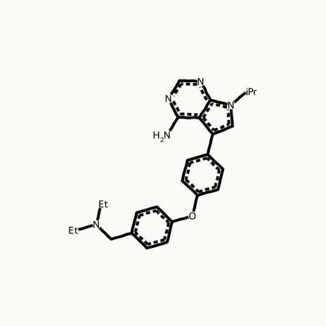 CCN(CC)Cc1ccc(Oc2ccc(-c3cn(C(C)C)c4ncnc(N)c34)cc2)cc1